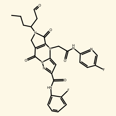 CCCC(CC=O)N1Cc2c(n(CC(=O)Nc3ccc(F)cn3)c3cc(C(=O)Nc4ccccc4F)nn3c2=O)C1=O